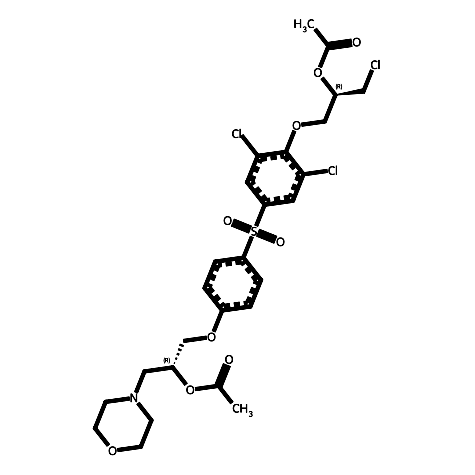 CC(=O)O[C@@H](CCl)COc1c(Cl)cc(S(=O)(=O)c2ccc(OC[C@@H](CN3CCOCC3)OC(C)=O)cc2)cc1Cl